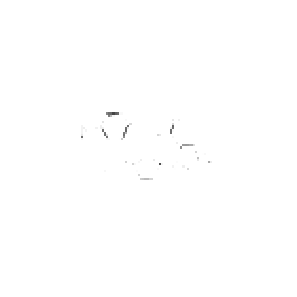 O=C(OCc1ccc([N+](=O)[O-])cc1)N1C[C@@H](S)C[C@H]1C1OCC(CO)O1